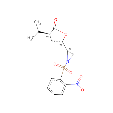 CC(C)[C@@H]1C[C@@H]([C@@H]2CN2S(=O)(=O)c2ccccc2[N+](=O)[O-])OC1=O